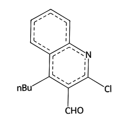 CCCCc1c(C=O)c(Cl)nc2ccccc12